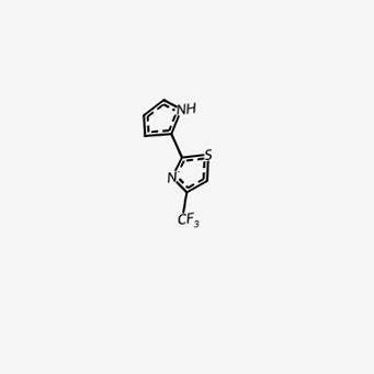 FC(F)(F)c1csc(-c2ccc[nH]2)n1